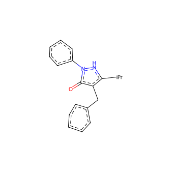 CC(C)c1[nH]n(-c2ccccc2)c(=O)c1Cc1ccccc1